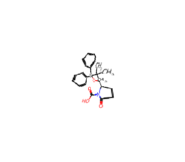 CC(C)(C)[Si](OCC1CCC(=O)N1C(=O)O)(c1ccccc1)c1ccccc1